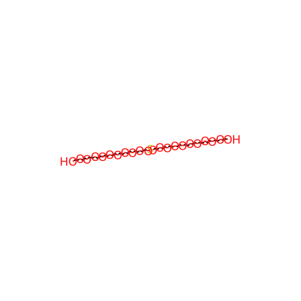 OCCOCCOCCOCCOCCOCCOCCOCCOCCOCCOSOCCOCCOCCOCCOCCOCCOCCOCCOCCOCCO